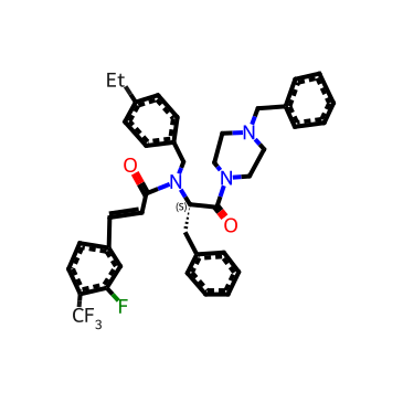 CCc1ccc(CN(C(=O)C=Cc2ccc(C(F)(F)F)c(F)c2)[C@@H](Cc2ccccc2)C(=O)N2CCN(Cc3ccccc3)CC2)cc1